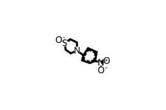 O=[N+]([O-])c1ccc(N2CC[S+]([O-])CC2)cc1